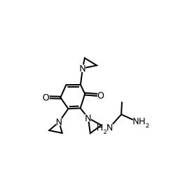 CC(N)N.O=C1C=C(N2CC2)C(=O)C(N2CC2)=C1N1CC1